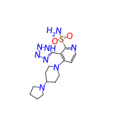 NS(=O)(=O)c1nccc(N2CCC(N3CCCC3)CC2)c1-c1nnn[nH]1